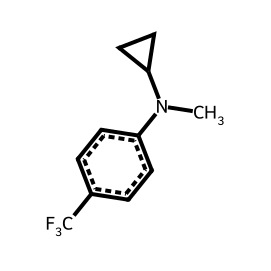 CN(c1ccc(C(F)(F)F)cc1)C1CC1